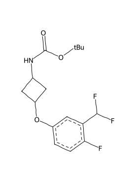 CC(C)(C)OC(=O)NC1CC(Oc2ccc(F)c(C(F)F)c2)C1